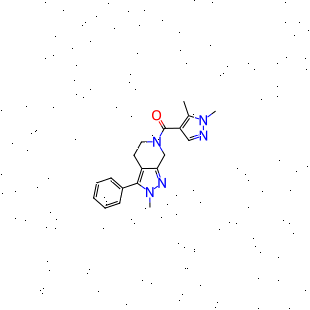 Cc1c(C(=O)N2CCc3c(nn(C)c3-c3ccccc3)C2)cnn1C